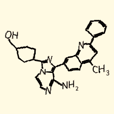 Cc1cc(-c2ccccc2)nc2cc(-c3nc(C4CCC(CO)CC4)n4ccnc(N)c34)ccc12